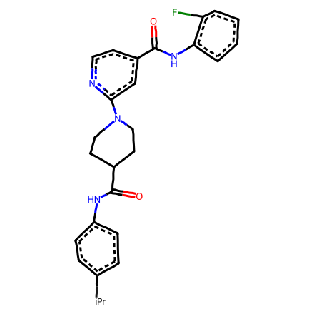 CC(C)c1ccc(NC(=O)C2CCN(c3cc(C(=O)Nc4ccccc4F)ccn3)CC2)cc1